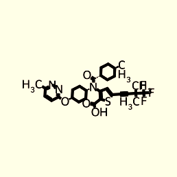 Cc1ccc(O[C@H]2CC[C@H](N(c3cc(C#CC(C)(C)C(F)(F)F)sc3C(=O)O)C(=O)[C@H]3CC[C@H](C)CC3)CC2)nn1